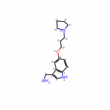 NCc1c[nH]c2ccc(OCCCN3CCCC3)cc12